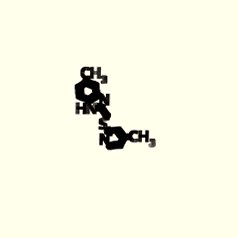 Cc1ccnc(SCc2nc3cc(C)ccc3[nH]2)c1